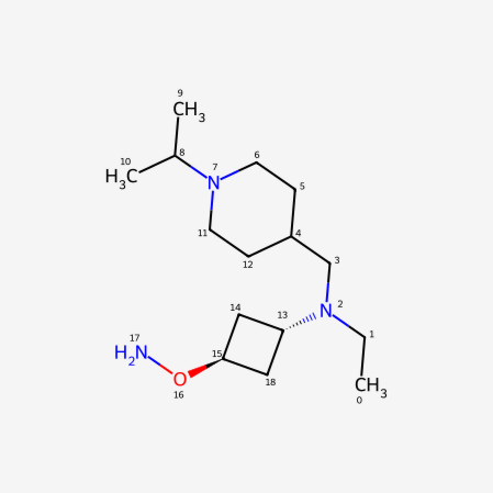 CCN(CC1CCN(C(C)C)CC1)[C@H]1C[C@H](ON)C1